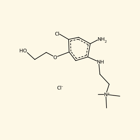 C[N+](C)(C)CCNc1cc(OCCO)c(Cl)cc1N.[Cl-]